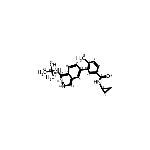 Cc1ccc(C(=O)NC2CC2)cc1-c1ccc2c(NC(C)(C)C)nncc2c1